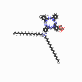 CCCCCCCCCCCCCCCCCC[N+](C)(C)CCCCCCCCCCCCCCCCCC.O=S(=O)([O-])c1ccc2c3nc4nc(nc5[n-]c(nc6nc(nc([n-]3)c2c1)-c1ccccc1-6)c1ccccc51)-c1ccccc1-4.[Cu+2]